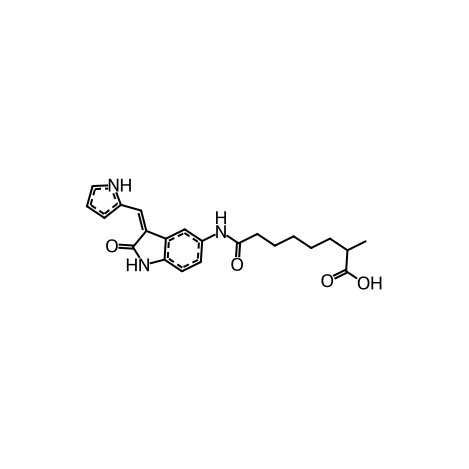 CC(CCCCCC(=O)Nc1ccc2c(c1)C(=Cc1ccc[nH]1)C(=O)N2)C(=O)O